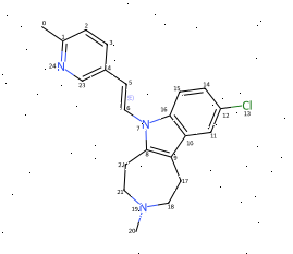 Cc1ccc(/C=C/n2c3c(c4cc(Cl)ccc42)CCN(C)CC3)cn1